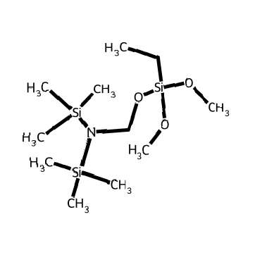 CC[Si](OC)(OC)OCN([Si](C)(C)C)[Si](C)(C)C